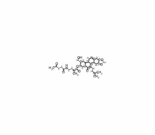 CC(=O)CCC(=O)NCCN(C)C(=O)Oc1cc2c(=O)n(CCN(C)C)c3c4cc5c(cc4ncc3c2cc1CO)OCO5